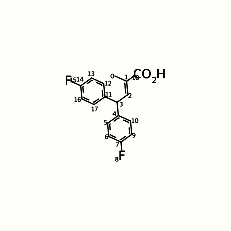 CC(=CC(c1ccc(F)cc1)c1ccc(F)cc1)C(=O)O